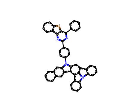 c1ccc(-c2nc(-c3ccc(-n4c5cc6ccccc6cc5c5c6c7ccccc7n7c8ccccc8c(cc54)c67)cc3)nc3c2sc2ccccc23)cc1